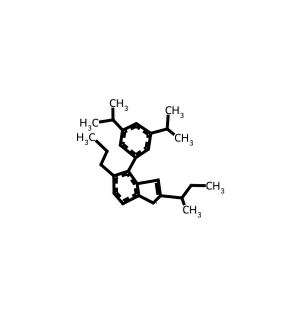 CCCc1ccc2c(c1-c1cc(C(C)C)cc(C(C)C)c1)C=C(C(C)CC)[CH]2